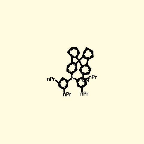 CCCc1cc(CCC)cc(N(c2cc(CCC)cc(CCC)c2)c2ccc3c(c2)C2(c4ccccc4-c4ccc(C#N)cc42)c2ccccc2-3)c1